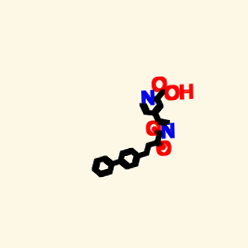 O=C(O)c1cc(-c2cnc(C(=O)CCc3ccc(-c4ccccc4)cc3)o2)ccn1